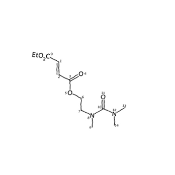 CCOC(=O)/C=C/C(=O)OCCN(C)C(=O)N(C)C